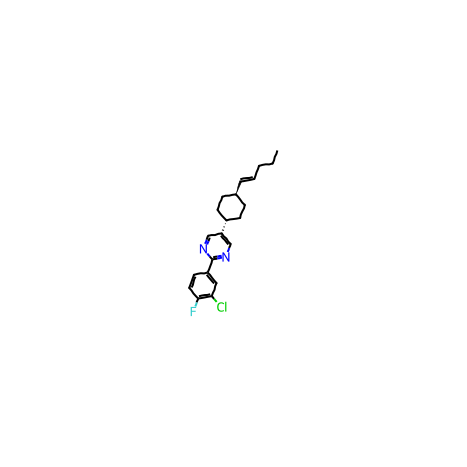 CCCC=C[C@H]1CC[C@H](c2cnc(-c3ccc(F)c(Cl)c3)nc2)CC1